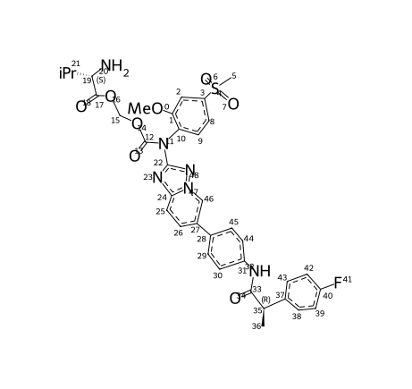 COc1cc(S(C)(=O)=O)ccc1N(C(=O)OCOC(=O)[C@@H](N)C(C)C)c1nc2ccc(-c3ccc(NC(=O)[C@H](C)c4ccc(F)cc4)cc3)cn2n1